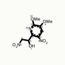 COc1cc([N+](=O)[O-])c(C(O)C[N+](=O)[O-])nc1OC